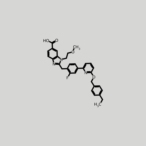 CCc1ccc(COc2cccc(-c3ccc(Cc4nc5ccc(C(=O)O)cc5n4CCOC)c(F)c3)n2)cc1